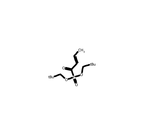 CC=CC(=O)P(=O)(OCC(C)(C)C)OCC(C)(C)C